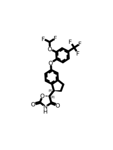 O=C1NC(=O)[C@@H]([C@@H]2CCc3cc(Oc4ccc(C(F)(F)F)cc4OC(F)F)ccc32)O1